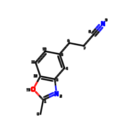 Cc1nc2cc(CCC#N)ccc2o1